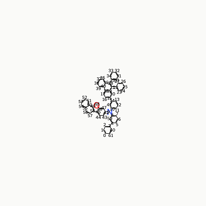 c1ccc(-c2cccc(N(c3cccc(-c4ccc5c(c4)c(-c4ccccc4)c(-c4ccccc4)c4ccccc45)c3)c3ccc4c(c3)oc3c5ccccc5ccc43)c2)cc1